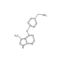 Cc1c[nH]c2nccc(Oc3ccc(CN)cc3)c12